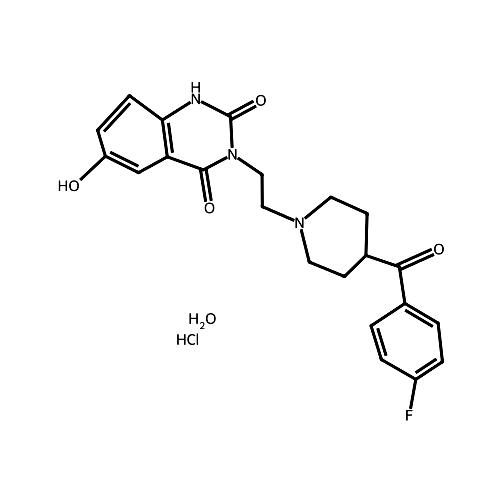 Cl.O.O=C(c1ccc(F)cc1)C1CCN(CCn2c(=O)[nH]c3ccc(O)cc3c2=O)CC1